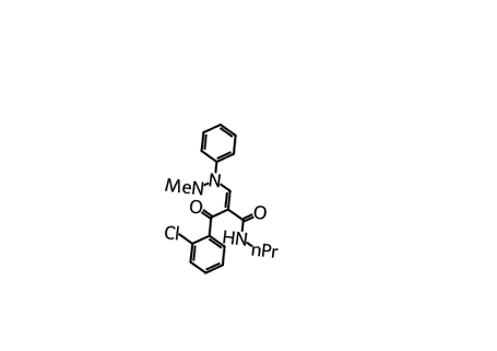 CCCNC(=O)C(=CN(NC)c1ccccc1)C(=O)c1ccccc1Cl